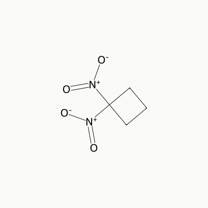 O=[N+]([O-])C1([N+](=O)[O-])CCC1